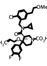 C=CCO[C@]1(c2ccc(F)c(F)c2)CCN(C(=O)O)C[C@@H]1C(=O)N(Cc1cc(CCOC)ccc1Cl)C1CC1